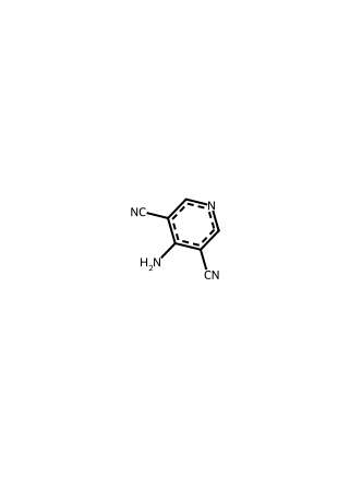 N#Cc1cncc(C#N)c1N